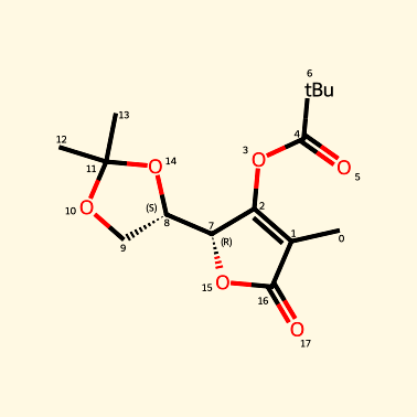 CC1=C(OC(=O)C(C)(C)C)[C@@H]([C@@H]2COC(C)(C)O2)OC1=O